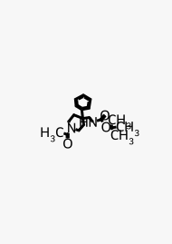 CC(=O)N1CCC(CNC(=O)OC(C)(C)C)(c2ccccc2)CC1